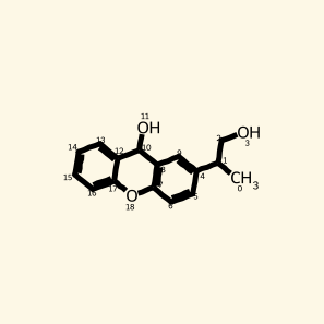 CC(CO)c1ccc2c(c1)C(O)c1ccccc1O2